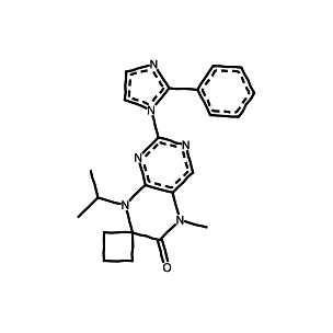 CC(C)N1c2nc(-n3ccnc3-c3ccccc3)ncc2N(C)C(=O)C12CCC2